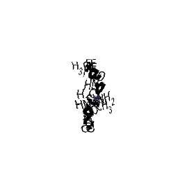 C=C(Nc1ccc(N2CCS(=O)(=O)CC2)cc1)C(=O)N(C)/C=C(\N)c1cccc(NC(=O)c2ccc(C(C)(F)C(F)(F)F)cc2)c1C